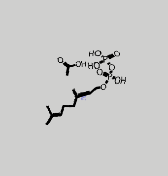 CC(=O)O.CC(C)=CCC/C(C)=C/COP(=O)(O)OP(=O)(O)O